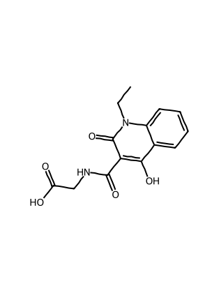 CCn1c(=O)c(C(=O)NCC(=O)O)c(O)c2ccccc21